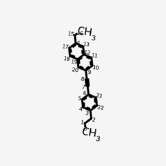 CCCc1ccc(C#Cc2ccc3cc(CC)ccc3c2)cc1